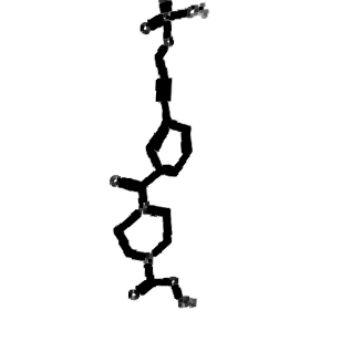 CC(C)(C)OC(=O)N1CCN(C(=O)c2cccc(C#CCOS(C)(=O)=O)c2)CC1